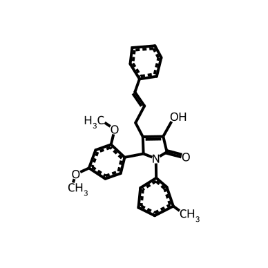 COc1ccc(C2C(C/C=C/c3ccccc3)=C(O)C(=O)N2c2cccc(C)c2)c(OC)c1